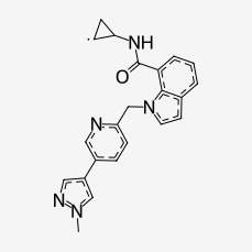 Cn1cc(-c2ccc(Cn3ccc4cccc(C(=O)NC5[CH]C5)c43)nc2)cn1